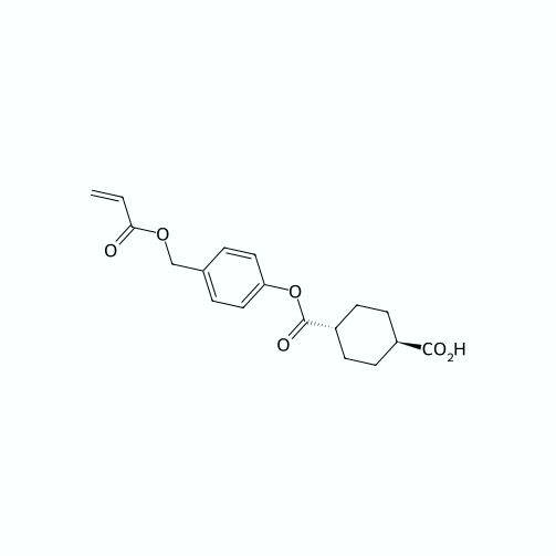 C=CC(=O)OCc1ccc(OC(=O)[C@H]2CC[C@H](C(=O)O)CC2)cc1